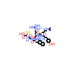 CC(C)NCCCC[C@H](NC(=O)[C@@H](N)Cc1ccc(O)cc1)C(=O)N[C@H](CCCNC(=N)N)C(=O)N[C@@H](Cc1ccc2ccccc2c1)C(=O)NCC(=O)N[C@H](CS)C(=O)O